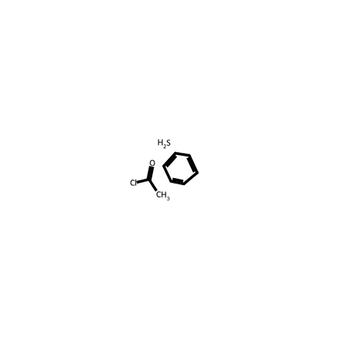 CC(=O)Cl.S.c1ccccc1